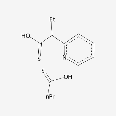 CCC(C(O)=S)c1ccccn1.CCCC(O)=S